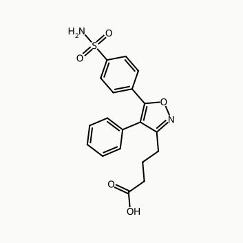 NS(=O)(=O)c1ccc(-c2onc(CCCC(=O)O)c2-c2ccccc2)cc1